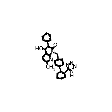 Cc1ccc2c(O)c(-c3ccccc3)c(=O)n(Cc3ccc(-c4ccccc4-c4nnn[nH]4)cc3)c2n1